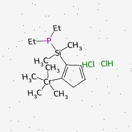 CCP(CC)[Si](C)(C)C1=[C]([Cr]([CH3])([CH3])([CH3])[CH3])CC=C1.Cl.Cl